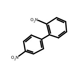 O=[N+]([O-])c1c[c]c(-c2[c]cccc2[N+](=O)[O-])cc1